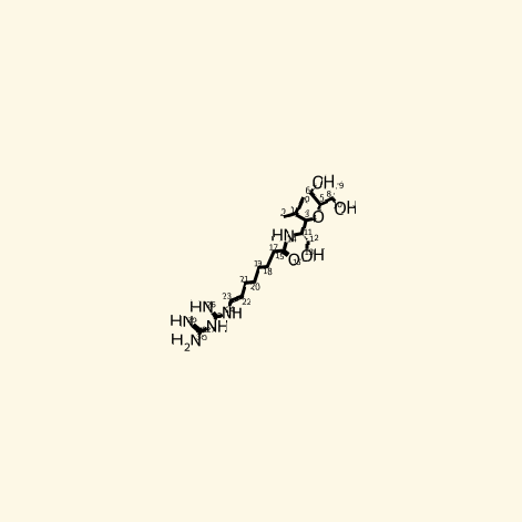 CC(C)C(OC(CO)[C@H](C)O)[C@H](CO)NC(=O)CCCCCCCNC(=N)NC(=N)N